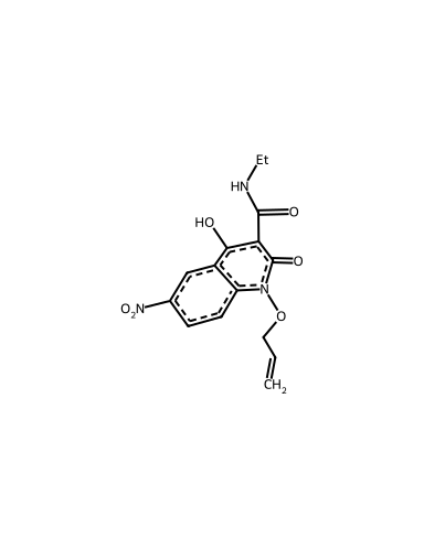 C=CCOn1c(=O)c(C(=O)NCC)c(O)c2cc([N+](=O)[O-])ccc21